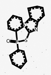 O=P(Sc1nc2ccccc2s1)(c1ccccc1)c1ccccc1